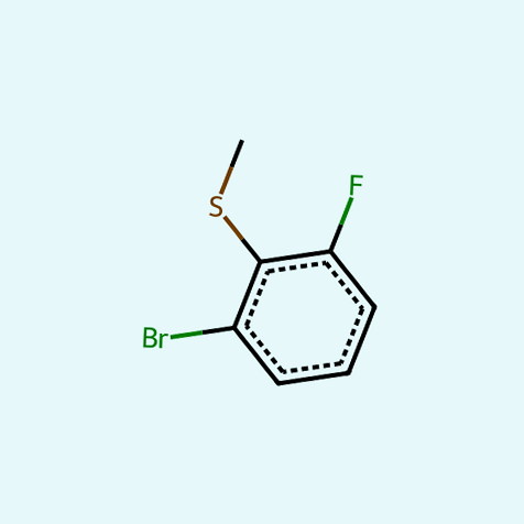 CSc1c(F)cccc1Br